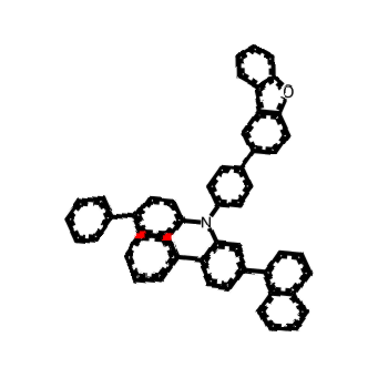 c1ccc(-c2ccc(N(c3ccc(-c4ccc5oc6ccccc6c5c4)cc3)c3cc(-c4cccc5ccccc45)ccc3-c3ccccc3)cc2)cc1